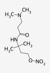 CN(C)CCC(=O)NC(C)(C)CCO[N+](=O)[O-]